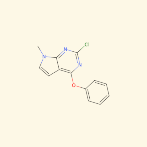 Cn1ccc2c(Oc3ccccc3)nc(Cl)nc21